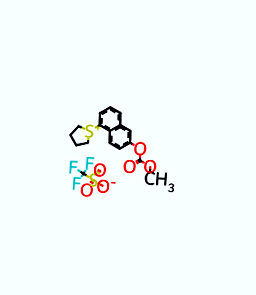 COC(=O)Oc1ccc2c([S+]3CCCC3)cccc2c1.O=S(=O)([O-])C(F)(F)F